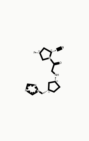 N#C[C@H]1C[C@@H](F)CN1C(=O)CN[C@@H]1CC[C@H](Cn2cncn2)C1